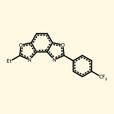 CCc1nc2c(ccc3oc(-c4ccc(C(F)(F)F)cc4)nc32)o1